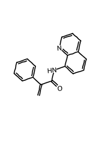 C=C(C(=O)Nc1cccc2cccnc12)c1ccccc1